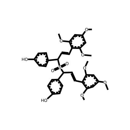 COc1cc(OC)c(C=CC(c2ccc(O)cc2)S(=O)(=O)C(C=Cc2c(OC)cc(OC)cc2OC)c2ccc(O)cc2)c(OC)c1